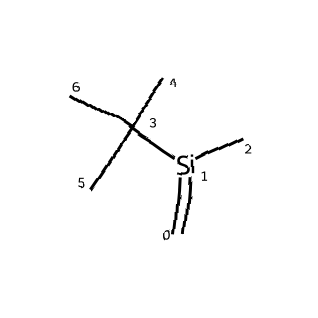 C=[Si](C)C(C)(C)C